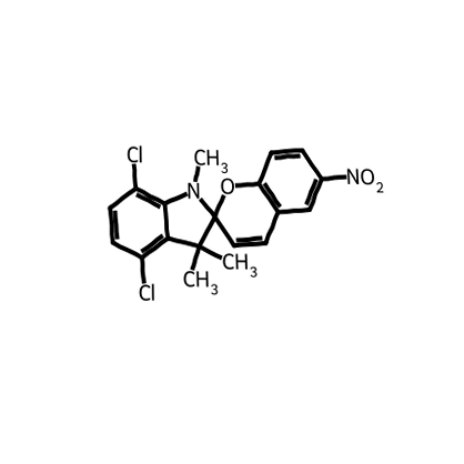 CN1c2c(Cl)ccc(Cl)c2C(C)(C)C12C=Cc1cc([N+](=O)[O-])ccc1O2